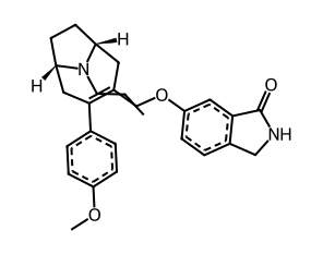 CCCN1[C@@H]2CC[C@H]1CC(c1ccc(OC)cc1)=C(COc1ccc3c(c1)C(=O)NC3)C2